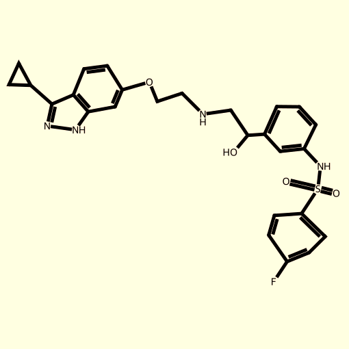 O=S(=O)(Nc1cccc(C(O)CNCCOc2ccc3c(C4CC4)n[nH]c3c2)c1)c1ccc(F)cc1